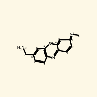 C/N=c1\ccc2nc3ccc(CN)cc3sc-2c1